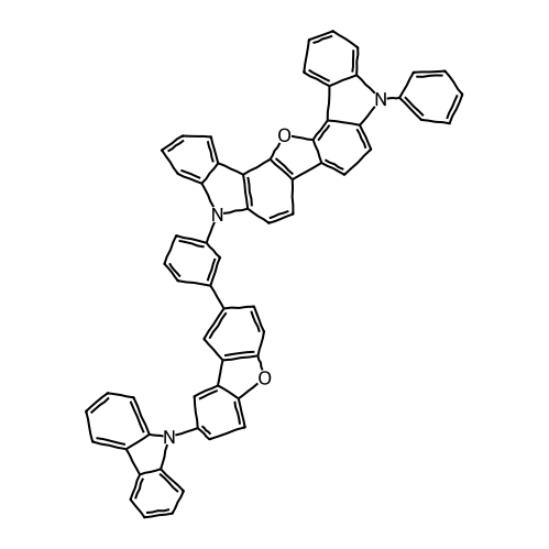 c1ccc(-n2c3ccccc3c3c4oc5c(ccc6c5c5ccccc5n6-c5cccc(-c6ccc7oc8ccc(-n9c%10ccccc%10c%10ccccc%109)cc8c7c6)c5)c4ccc32)cc1